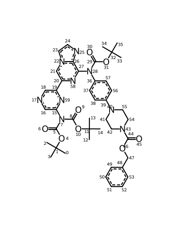 CC(C)(C)OC(=O)N(C(=O)OC(C)(C)C)c1cncc(-c2cn3ccnc3c(N(C(=O)OC(C)(C)C)c3ccc(N4CCN(C(=O)OCc5ccccc5)CC4)cc3)n2)n1